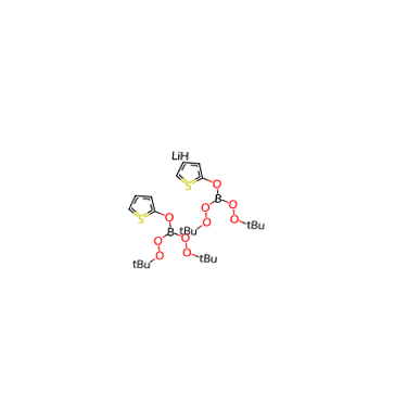 CC(C)(C)OOB(OOC(C)(C)C)Oc1cccs1.CC(C)(C)OOB(OOC(C)(C)C)Oc1cccs1.[LiH]